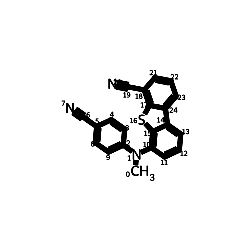 CN(c1ccc(C#N)cc1)c1cccc2c1sc1c(C#N)cccc12